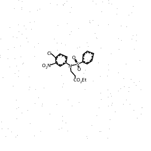 CCOC(=O)CCN(c1ccc(Cl)c([N+](=O)[O-])c1)S(=O)(=O)c1ccccc1